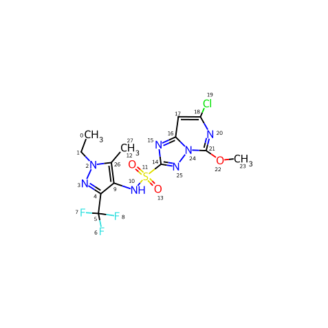 CCn1nc(C(F)(F)F)c(NS(=O)(=O)c2nc3cc(Cl)nc(OC)n3n2)c1C